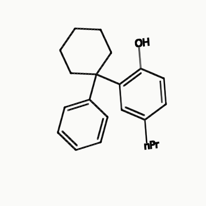 CCCc1ccc(O)c(C2(c3ccccc3)CCCCC2)c1